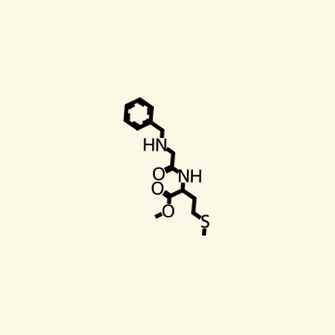 COC(=O)C(CCSC)NC(=O)CNCc1ccccc1